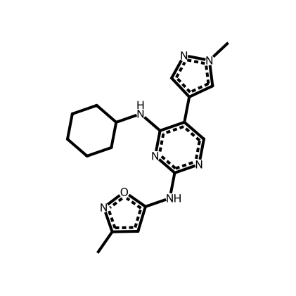 Cc1cc(Nc2ncc(-c3cnn(C)c3)c(NC3CCCCC3)n2)on1